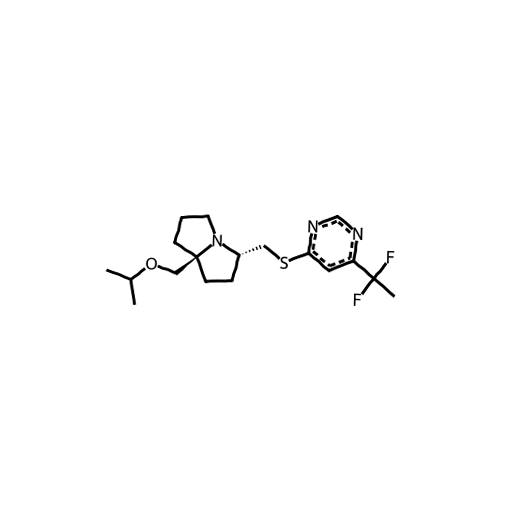 CC(C)OC[C@@]12CCCN1[C@H](CSc1cc(C(C)(F)F)ncn1)CC2